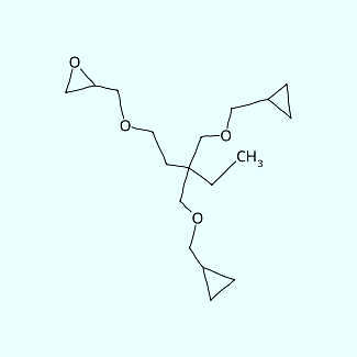 CCC(CCOCC1CO1)(COCC1CC1)COCC1CC1